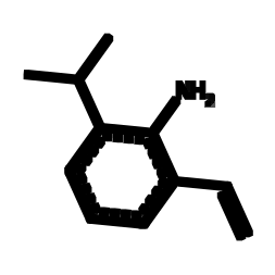 C=Cc1cccc(C(C)C)c1N